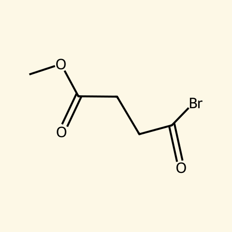 COC(=O)CCC(=O)Br